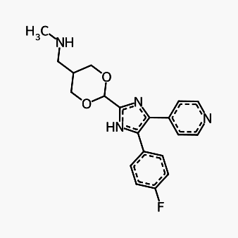 CNCC1COC(c2nc(-c3ccncc3)c(-c3ccc(F)cc3)[nH]2)OC1